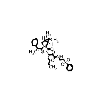 C=CCC[C@H](NC(=O)[C@@H]1[C@@H]2[C@H](CN1C(=O)[C@@H](C)C1CCCCC1)C2(C)C)C(=O)C(=O)NCCS(=O)(=O)c1ccccc1